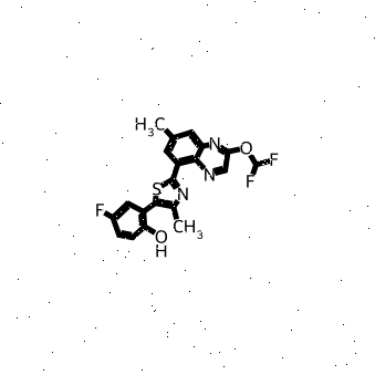 Cc1cc(-c2nc(C)c(-c3cc(F)ccc3O)s2)c2ncc(OC(F)F)nc2c1